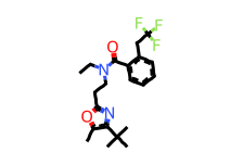 CCN(CCc1nc(C(C)(C)C)c(C)o1)C(=O)c1ccccc1CC(F)(F)F